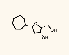 OC[C@H]1O[C@@H](C2CCCCCC2)C[C@H]1O